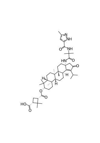 Cc1cc(C(=O)NC(C)(C)C(=O)N[C@@]23CC[C@]4(C)[C@H](CC[C@@H]5[C@@]6(C)CC[C@H](OC(=O)[C@H]7C[C@@H](C(=O)O)C7(C)C)C(C)(C)[C@@H]6CC[C@]54C)C2=C(C(C)C)C(=O)C3)[nH]n1